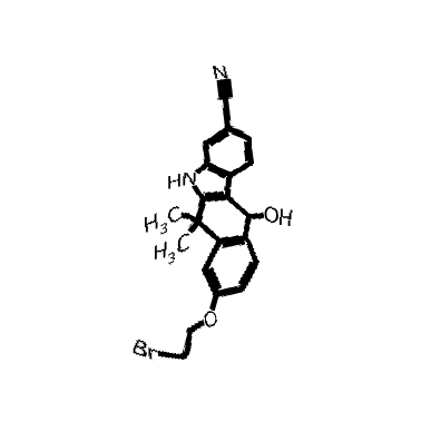 CC1(C)c2cc(OCCBr)ccc2C(O)c2c1[nH]c1cc(C#N)ccc21